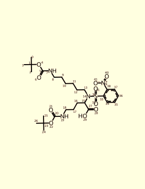 CC(C)(C)OC(=O)NCCCCCCN(C(CCCNC(=O)OC(C)(C)C)C(=O)O)S(=O)(=O)c1ccccc1[N+](=O)[O-]